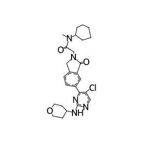 CN(C(=O)CN1Cc2ccc(-c3nc(NC4CCOCC4)ncc3Cl)cc2C1=O)C1CCCCC1